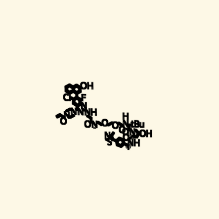 C=CC(=O)N1CCN(c2nc(NCCC(=O)N(C)CCOCCOCC(=O)N[C@H](C(=O)N3C[C@H](O)C[C@H]3C(=O)N[C@@H](C)c3ccc(-c4scnc4C)cc3)C(C)(C)C)nc3c(F)c(-c4cc(O)cc5ccccc45)c(Cl)cc23)CC1